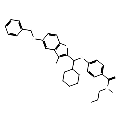 CCOC(=O)CCN(C)C(=O)c1ccc(NC(c2oc3ccc(NCc4ccccc4)cc3c2C)C2CCCCC2)cc1